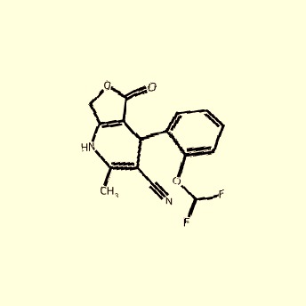 CC1=C(C#N)C(c2ccccc2OC(F)F)C2=C(COC2=O)N1